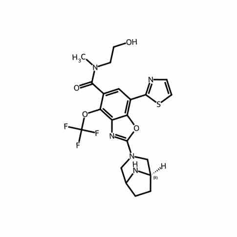 CN(CCO)C(=O)c1cc(-c2nccs2)c2oc(N3CC4CC[C@H](C3)N4)nc2c1OC(F)(F)F